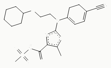 Cc1sc(N(CCOC2CCCCC2)C2=CC=C(C#N)CC2)nc1C(=O)NS(C)(=O)=O